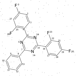 Fc1ccc(-c2nc(-c3ccccc3)nc(-c3ccc(F)cc3F)n2)c(F)c1